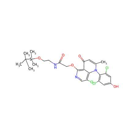 Cc1cc(=O)c2c(OCC(=O)NCCO[Si](C)(C)C(C)(C)C)ncc(Cl)c2n1-c1c(Cl)cc(O)cc1Cl